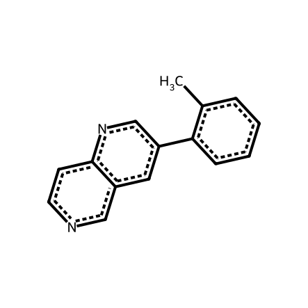 Cc1ccccc1-c1cnc2ccncc2c1